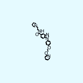 O=C(NCCN1CCCC1)c1ccc2c(c1)ncn2-c1ccc(OCCOc2ccccn2)cc1